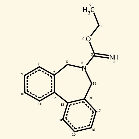 CCOC(=N)N1Cc2ccccc2-c2ccccc2C1